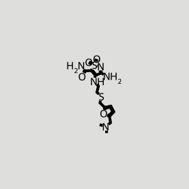 CN(C)Cc1ccc(CSCCNC2=C(C(N)=O)S(=O)(=O)N=C2N)o1